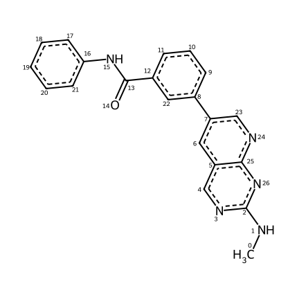 CNc1ncc2cc(-c3cccc(C(=O)Nc4ccccc4)c3)cnc2n1